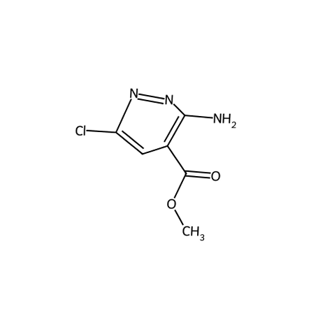 COC(=O)c1cc(Cl)nnc1N